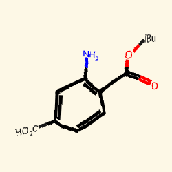 CCC(C)OC(=O)c1ccc(C(=O)O)cc1N